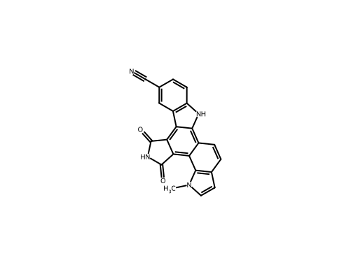 Cn1ccc2ccc3c4[nH]c5ccc(C#N)cc5c4c4c(c3c21)C(=O)NC4=O